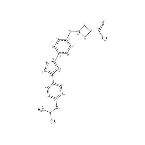 CC(C)Oc1ccc(-c2ncc(-c3ccc(CN4CC(C(=O)O)C4)cc3)[se]2)cc1